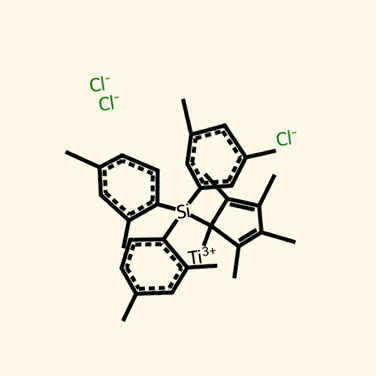 CC1=C(C)[C]([Ti+3])([Si](c2cc(C)cc(C)c2)(c2ccc(C)cc2C)c2ccc(C)cc2C)C(C)=C1C.[Cl-].[Cl-].[Cl-]